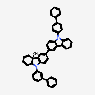 C[C@]12C=CC=CC1N(c1cccc(-c3ccccc3)c1)c1ccc(-c3ccc4c(c3)c3ccccc3n4-c3ccc(-c4ccccc4)cc3)cc12